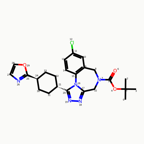 CC(C)(C)OC(=O)N1Cc2cc(Cl)ccc2-n2c(nnc2[C@H]2CC[C@H](c3ncco3)CC2)C1